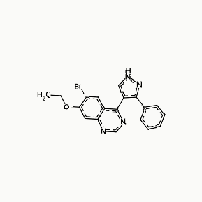 CCOc1cc2ncnc(-c3c[nH]nc3-c3ccccc3)c2cc1Br